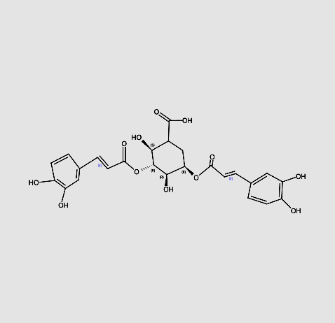 O=C(/C=C/c1ccc(O)c(O)c1)O[C@H]1[C@H](O)[C@H](OC(=O)/C=C/c2ccc(O)c(O)c2)CC(C(=O)O)[C@@H]1O